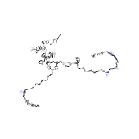 CCCCC/C=C\C/C=C\C/C=C\CCCCCCC(=O)OC[C@H](COP(=O)(O)OC[C@H](N)C(=O)O)OC(=O)CCCCCCC/C=C\CCCCCC